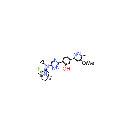 COc1cc(-c2ccc(-c3ncc(N(C4CC4)[C@H]4C[C@]5(C)CC[C@@](C)(N5)[C@H]4F)nn3)c(O)c2)nnc1C